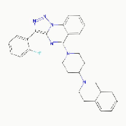 Fc1ccccc1-c1nnn2c1nc(N1CCC(N3CCc4ccccc4C3)CC1)c1ccccc12